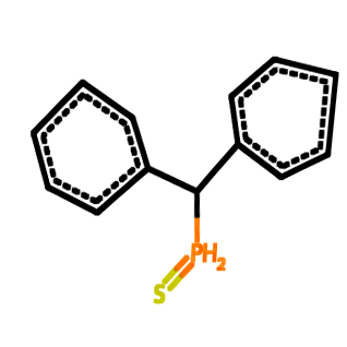 S=[PH2]C(c1ccccc1)c1ccccc1